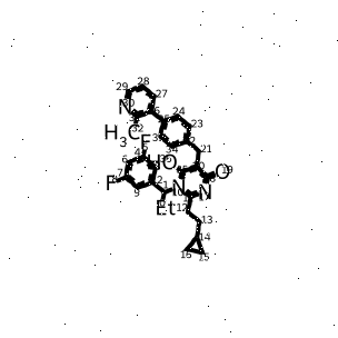 CCC(c1cc(F)cc(F)c1)n1c(CCC2CC2)nc(=O)c(Cc2ccc(-c3cccnc3C)cc2)c1O